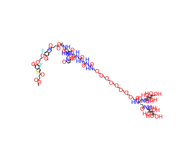 CCOC(=O)CCC(=O)c1cc2c(F)c(OCCCOc3c(OC)cc4c(c3F)CN(C(=O)CCC(=O)O[C@@H](C)CNC(=O)C[C@H](NC(=O)CN3C(=O)C=CC3=O)C(=O)NCC(=O)NCC(=O)NCC(=O)NCC(=O)NCCOCCOCCOCCOCCOCCOCCOCCOCCC(=O)N[C@@H](CCC(=O)NC[C@H](O)[C@@H](O)[C@H](O)[C@H](O)CO)C(=O)NC[C@H](O)[C@@H](O)[C@H](O)[C@H](O)CO)C4)c(OC)cc2s1